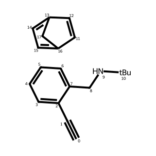 C#Cc1ccccc1CNC(C)(C)C.C1=CC2=CC=C1C2